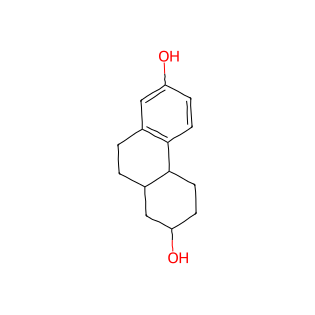 Oc1ccc2c(c1)CCC1CC(O)CCC21